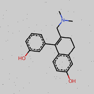 CN(C)CC1=C(c2cccc(O)c2)c2ccc(O)cc2CC1